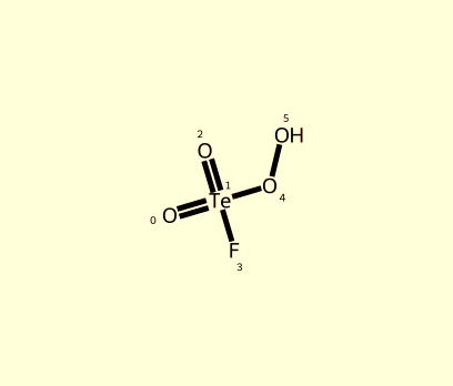 O=[Te](=O)(F)OO